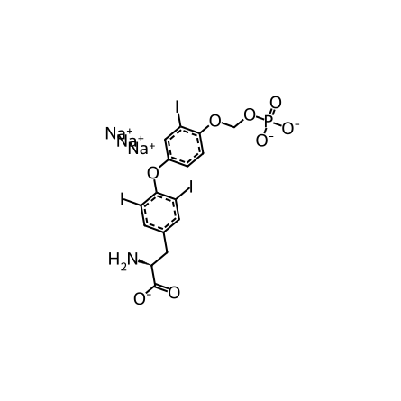 N[C@@H](Cc1cc(I)c(Oc2ccc(OCOP(=O)([O-])[O-])c(I)c2)c(I)c1)C(=O)[O-].[Na+].[Na+].[Na+]